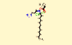 C=CC(=O)ON(CCCN)C(Cl)(Cl)CCCCCCCCCCC